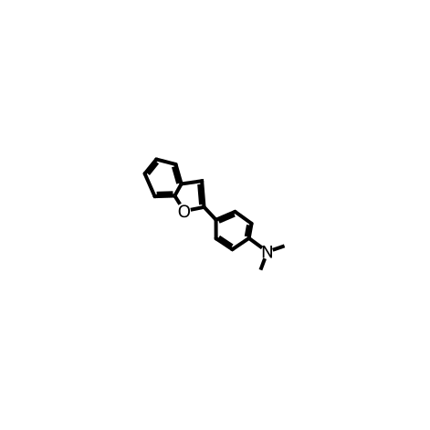 CN(C)c1ccc(-c2cc3ccccc3o2)cc1